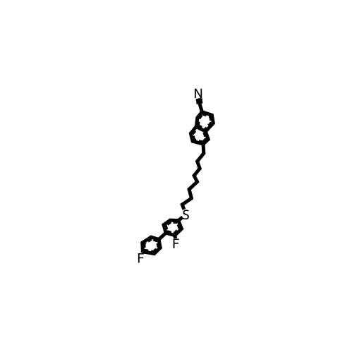 N#Cc1ccc2cc(CCCCCCCCSc3ccc(-c4ccc(F)cc4)c(F)c3)ccc2c1